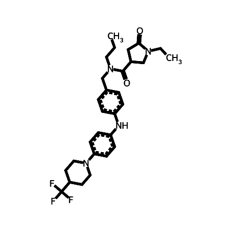 CCCN(Cc1ccc(Nc2ccc(N3CCC(C(F)(F)F)CC3)cc2)cc1)C(=O)C1CC(=O)N(CC)C1